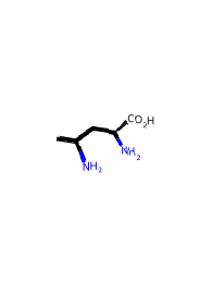 CC(N)C[C@H](N)C(=O)O